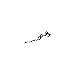 CCCCCCCCCC=Cc1ccc(OCCCC(=O)OCC)cc1